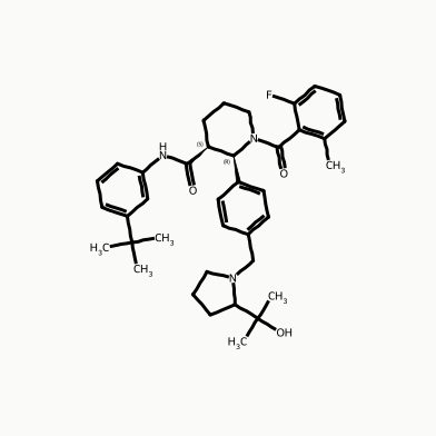 Cc1cccc(F)c1C(=O)N1CCC[C@H](C(=O)Nc2cccc(C(C)(C)C)c2)[C@@H]1c1ccc(CN2CCCC2C(C)(C)O)cc1